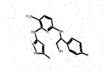 Cc1cc(Nc2nc(NC(CO)c3ccc(F)cc3)ccc2N)n[nH]1